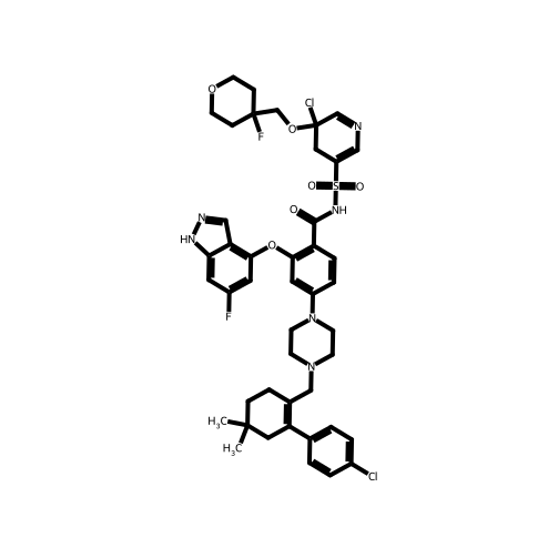 CC1(C)CCC(CN2CCN(c3ccc(C(=O)NS(=O)(=O)C4=CN=CC(Cl)(OCC5(F)CCOCC5)C4)c(Oc4cc(F)cc5[nH]ncc45)c3)CC2)=C(c2ccc(Cl)cc2)C1